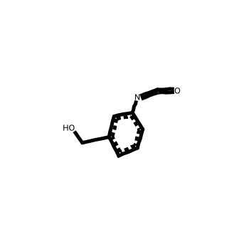 O=C=Nc1cccc(CO)c1